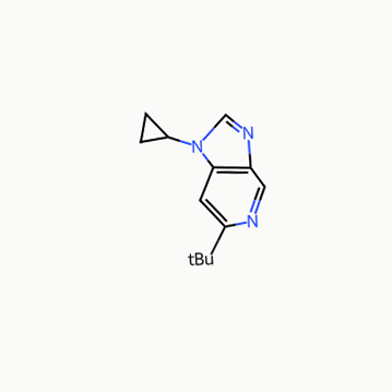 CC(C)(C)c1cc2c(cn1)ncn2C1CC1